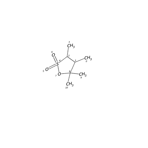 CC1C(C)S(=O)(=O)OC1(C)C